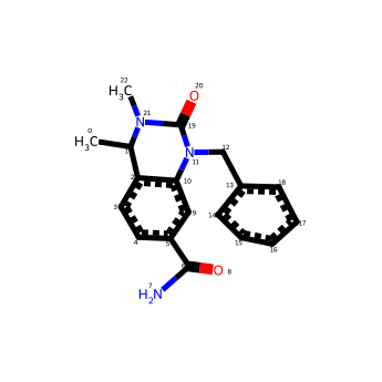 CC1c2ccc(C(N)=O)cc2N(Cc2ccccc2)C(=O)N1C